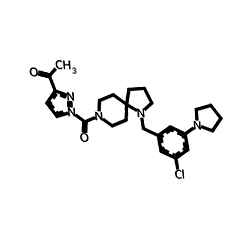 CC(=O)c1ccn(C(=O)N2CCC3(CCCN3Cc3cc(Cl)cc(N4CCCC4)c3)CC2)n1